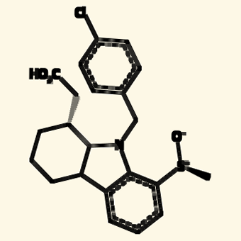 C[S@+]([O-])c1cccc2c1N(Cc1ccc(Cl)cc1)C1C2CCC[C@@H]1CC(=O)O